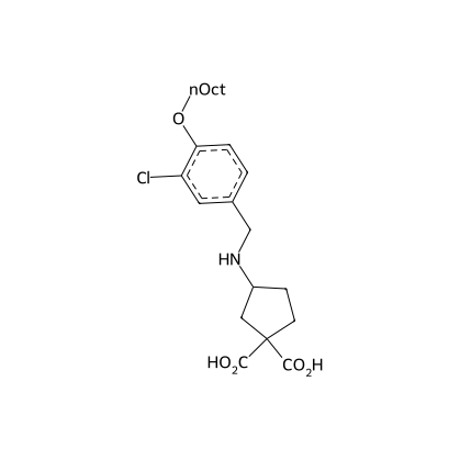 CCCCCCCCOc1ccc(CNC2CCC(C(=O)O)(C(=O)O)C2)cc1Cl